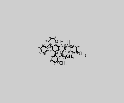 COC(=O)c1c(C)cccc1-c1cc(NC(=O)Nc2ccc(C)cc2)c2c(c1)C(c1ccccc1)CCCO2